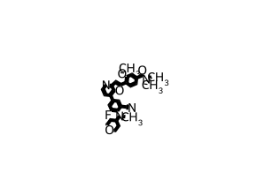 COc1cc(C(=O)N(C)C)ccc1-c1cc2nccc(-c3cc(F)c(N(C)C4CCOCC4)c(C#N)c3)c2o1